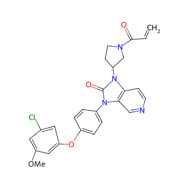 C=CC(=O)N1CCC(n2c(=O)n(-c3ccc(Oc4cc(Cl)cc(OC)c4)cc3)c3cnccc32)C1